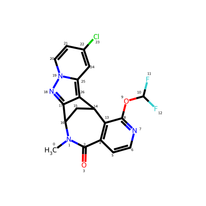 CN1C(=O)c2ccnc(OC(F)F)c2C2CC1c1nn3ccc(Cl)cc3c12